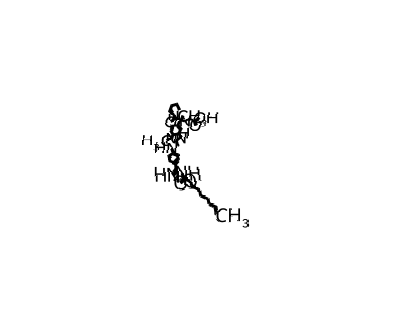 CCCCCCCCOC(=O)NC(=N)c1ccc(NCc2nc3cc(C(C)(NCC(=O)O)C(=O)N4CCCC4)ccc3n2C)cc1